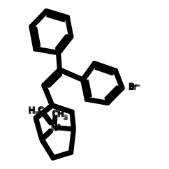 C[N+]1(C)C2CCC1CC(C=C(c1ccccc1)c1ccccc1)C2.[Br-]